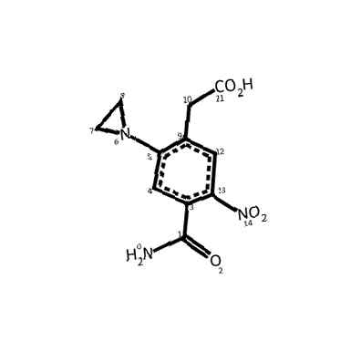 NC(=O)c1cc(N2CC2)c(CC(=O)O)cc1[N+](=O)[O-]